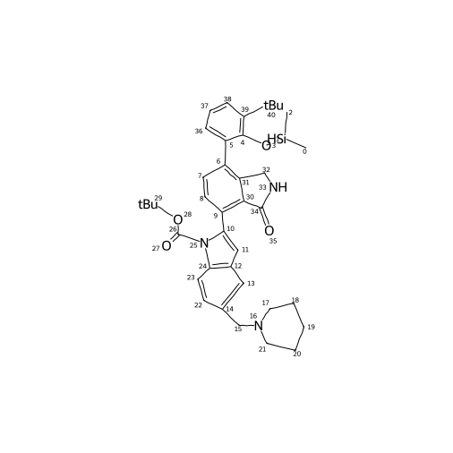 C[SiH](C)Oc1c(-c2ccc(-c3cc4cc(CN5CCCCC5)ccc4n3C(=O)OC(C)(C)C)c3c2CNC3=O)cccc1C(C)(C)C